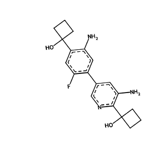 Nc1cc(-c2cnc(C3(O)CCC3)c(N)c2)c(F)cc1C1(O)CCC1